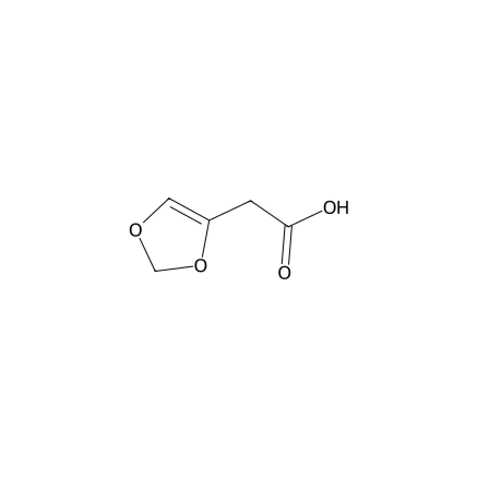 O=C(O)CC1=COCO1